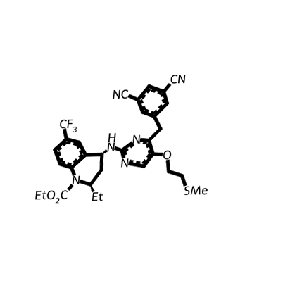 CCOC(=O)N1c2ccc(C(F)(F)F)cc2[C@@H](Nc2ncc(OCCSC)c(Cc3cc(C#N)cc(C#N)c3)n2)C[C@H]1CC